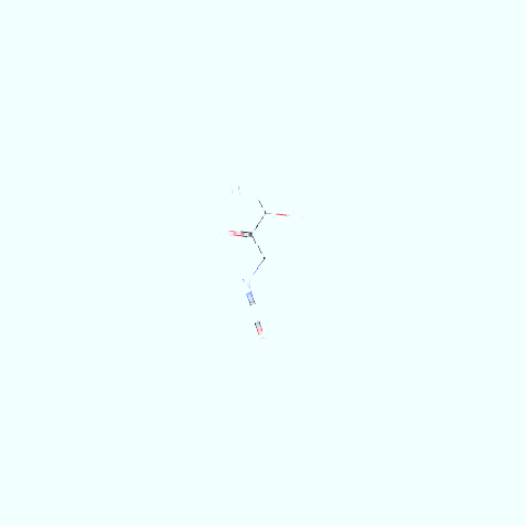 CC(O)C(=O)CN=C=O